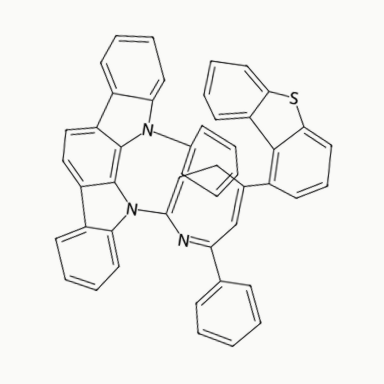 C1=C(c2cccc3sc4ccccc4c23)CC=C(n2c3ccccc3c3ccc4c5ccccc5n(-c5ccccc5)c4c32)N=C1c1ccccc1